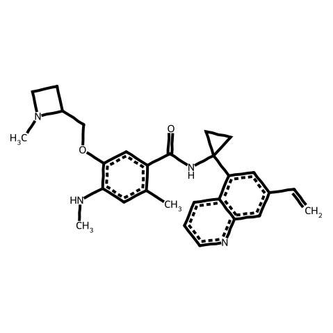 C=Cc1cc(C2(NC(=O)c3cc(OCC4CCN4C)c(NC)cc3C)CC2)c2cccnc2c1